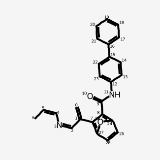 C=C(/C=N\C=C/C)c1c(C(=O)Nc2ccc(-c3ccccc3)cc2)c2ccc1o2